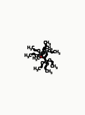 CCO[Si](CC(C[Si](OCC)(OCC)OCC)[Si](OCC)(OCC)OCC)(OCC)OCC